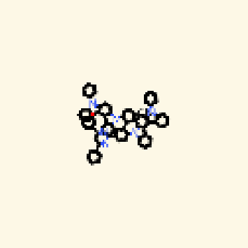 N#Cc1ccc(-n2c3ccccc3c3c4c5ccccc5n(-c5ccccc5)c4ccc32)c(-c2cc(-c3nc(-c4ccccc4)cc(-c4ccccc4)n3)ccc2-n2c3ccccc3c3c4c5ccccc5n(-c5ccccc5)c4ccc32)c1